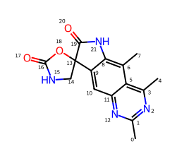 Cc1nc(C)c2c(C)c3c(cc2n1)C1(CNC(=O)O1)C(=O)N3